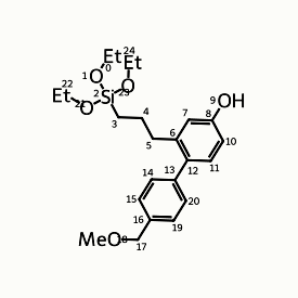 CCO[Si](CCCc1cc(O)ccc1-c1ccc(COC)cc1)(OCC)OCC